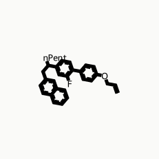 C=CCOc1ccc(-c2ccc(C(CCCCC)Cc3ccc4ccccc4c3)cc2F)cc1